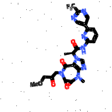 COCC(=O)CN1C(=O)c2c(ncn2[C@@H](C)C(=O)Nc2cccc(-c3cnc(C(F)(F)F)nc3)n2)N(C)C2OC21